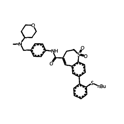 CCCCSc1ccccc1-c1ccc2c(c1)C=C(C(=O)Nc1ccc(CN(C)C3CCOCC3)cc1)CCS2(=O)=O